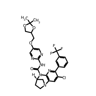 CC1(C)OCC(COc2cnc(NC(=O)N3c4nc(-c5cccc(C(F)(F)F)c5)c(Cl)cc4N4CC[C@H]3C4)nc2)O1